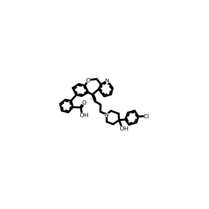 O=C(O)c1ccccc1-c1ccc2c(c1)/C(=C/CCN1CCC(O)(c3ccc(Cl)cc3)CC1)c1cccnc1CO2